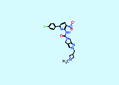 CN1CC(Cn2cc3c(n2)CN(C(=O)Nc2nc(-c4ccc(F)cc4)ccc2[N+](=O)[O-])C3)C1